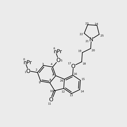 CCCOc1cc(OCCC)c2c(c1)C(=O)c1cccc(OCCCN3CCCC3)c1-2